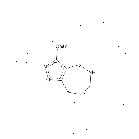 COc1noc2c1CNCCC2